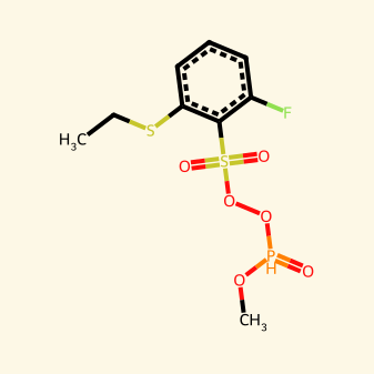 CCSc1cccc(F)c1S(=O)(=O)OO[PH](=O)OC